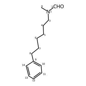 CN(C=O)CCCCCCc1ccccc1